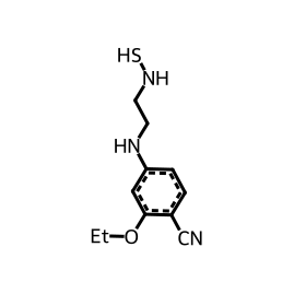 CCOc1cc(NCCNS)ccc1C#N